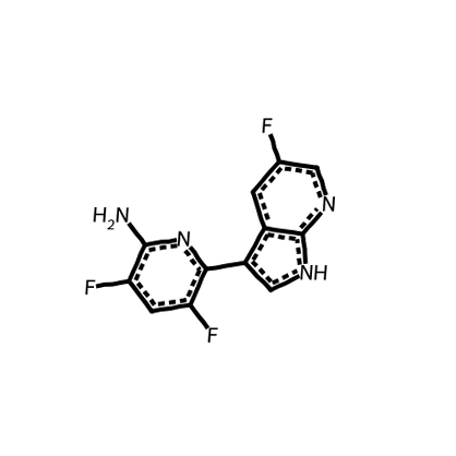 Nc1nc(-c2c[nH]c3ncc(F)cc23)c(F)cc1F